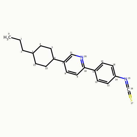 CCCC1CCC(c2ccc(-c3ccc(N=C=S)cc3)nc2)CC1